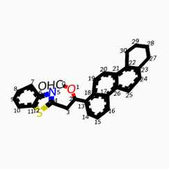 O=COC(Cc1nc2ccccc2s1)c1cccc2c1ccc1c3c(ccc12)CCCC3